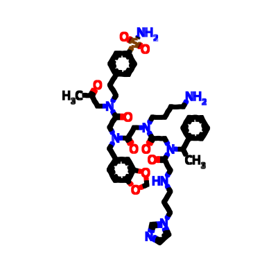 CC(=O)CN(CCc1ccc(S(N)(=O)=O)cc1)C(=O)CN(Cc1ccc2c(c1)OCO2)C(=O)CN(CCCCN)C(=O)CN(C(=O)CNCCCn1ccnc1)C(C)c1ccccc1